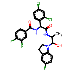 CC(NC(=O)C(NC(=O)c1ccc(F)c(F)c1)c1ccc(Cl)cc1Cl)C(O)N1CCc2cc(F)ccc21